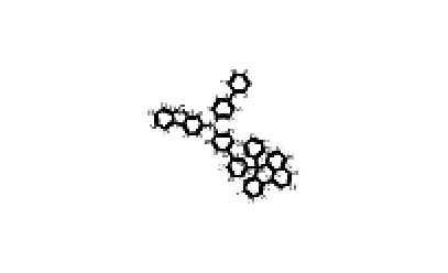 c1ccc(-c2ccc(N(c3ccc(-c4cccc(C5(c6ccccc6)c6ccccc6-c6cccc7cccc5c67)c4)cc3)c3ccc4c(c3)sc3ccccc34)cc2)cc1